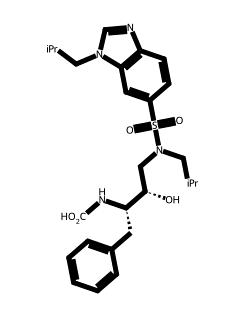 CC(C)CN(C[C@H](O)[C@H](Cc1ccccc1)NC(=O)O)S(=O)(=O)c1ccc2ncn(CC(C)C)c2c1